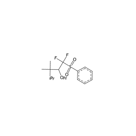 CC(C)C(C)(C)C(O)C(F)(F)S(=O)(=O)c1ccccc1